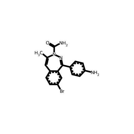 CC1=Cc2ccc(Br)cc2C(c2ccc(N)cc2)=NN1C(N)=O